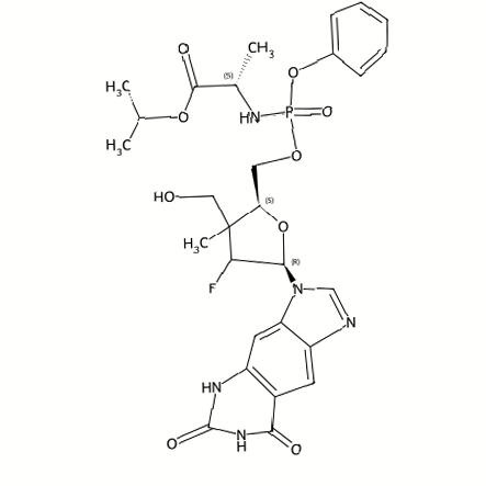 CC(C)OC(=O)[C@H](C)NP(=O)(OC[C@H]1O[C@@H](n2cnc3cc4c(=O)[nH]c(=O)[nH]c4cc32)C(F)C1(C)CO)Oc1ccccc1